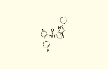 O=C(Nc1cnccc1-c1ccc(F)cc1)c1ccnn2cc(C3=CCCCC3)nc12